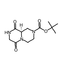 CC(C)(C)OC(=O)N1CCN2C(=O)CNC(=O)[C@H]2C1